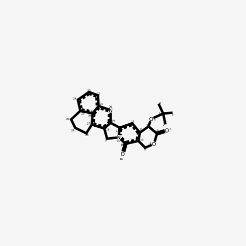 CC(C)(C)OC1C(=O)OCc2c1cc1n(c2=O)Cc2c-1nc1cccc3c1c2CCC3